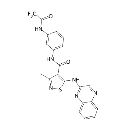 Cc1nsc(Nc2cnc3ccccc3n2)c1C(=O)Nc1cccc(NC(=O)C(F)(F)F)c1